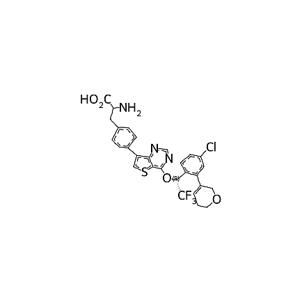 NC(Cc1ccc(-c2csc3c(O[C@H](c4ccc(Cl)cc4C4=CCCOC4)C(F)(F)F)ncnc23)cc1)C(=O)O